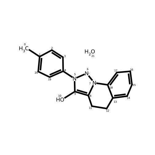 Cc1ccc(N2[N]N3C(=C2O)CCc2ccccc23)cc1.O